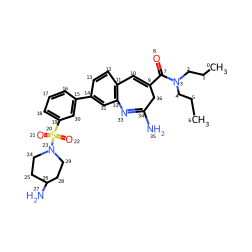 CCCN(CCC)C(=O)C1=Cc2ccc(-c3cccc(S(=O)(=O)N4CCC(N)CC4)c3)cc2N=C(N)C1